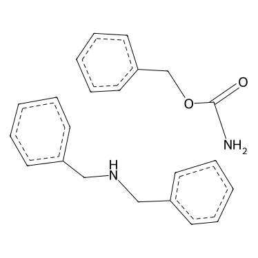 NC(=O)OCc1ccccc1.c1ccc(CNCc2ccccc2)cc1